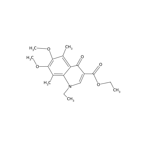 CCOC(=O)c1cn(CC)c2c(C)c(OC)c(OC)c(C)c2c1=O